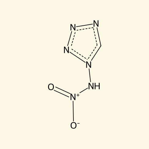 O=[N+]([O-])Nn1cnnn1